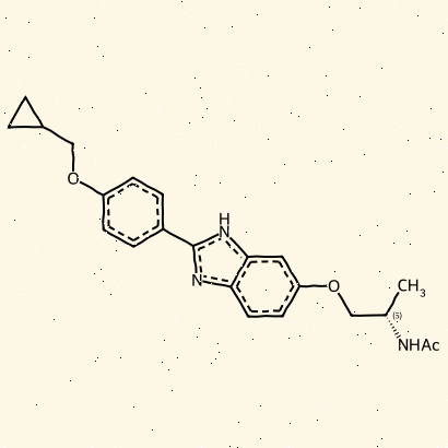 CC(=O)N[C@@H](C)COc1ccc2nc(-c3ccc(OCC4CC4)cc3)[nH]c2c1